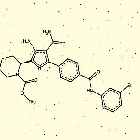 CCc1ccnc(NC(=O)c2ccc(-c3nc([C@@H]4CCCCN4C(=O)OC(C)(C)C)n(N)c3C(N)=O)cc2)c1